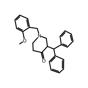 COc1ccccc1CN1CCC(=O)C(C(c2ccccc2)c2ccccc2)C1